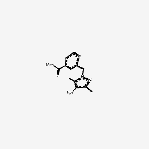 CNC(=O)c1ccnc(Cn2nc(C)c(N)c2C)c1